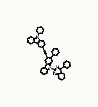 C(#Cc1cc2c3ccccc3n(-c3nc(-c4ccccc4)c4ccccc4n3)c2cc1-c1ccccc1)c1ccc2c(c1)c1ccccc1n2-c1ccccc1